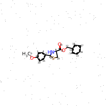 COc1ccc(C2NC(C(=O)OCc3ccccc3)CS2)cc1